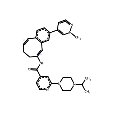 CC(C)N1CCN(c2cc(C(=O)N/C3=C/c4cc(C5=CN(C)N=C=C5)ccc4/C=C\CC3)ccn2)CC1